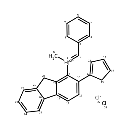 [CH3][Hf+2](=[CH]c1ccccc1)[c]1c(C2=CC=CC2)ccc2c1Cc1ccccc1-2.[Cl-].[Cl-]